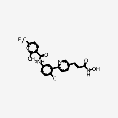 Cc1nc(C(F)(F)F)ccc1C(=O)Nc1ccc(Cl)c(-c2ccc(/C=C/C(=O)NO)cn2)c1